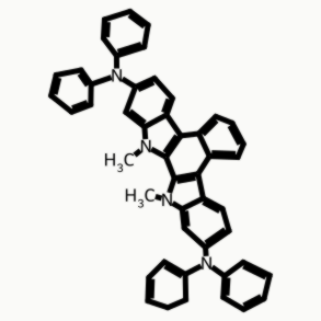 Cn1c2cc(N(C3=CC=CCC3)c3ccccc3)ccc2c2c3ccccc3c3c4ccc(N(c5ccccc5)c5ccccc5)cc4n(C)c3c21